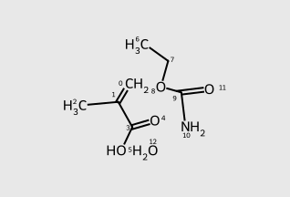 C=C(C)C(=O)O.CCOC(N)=O.O